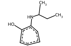 CCC(C)Nc1ccccc1O